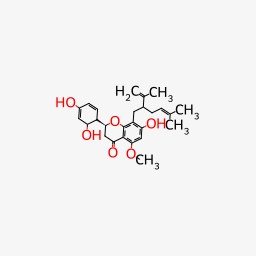 C=C(C)C(CC=C(C)C)Cc1c(O)cc(OC)c2c1O[C@H](C1C=CC(O)=CC1O)CC2=O